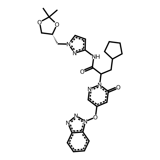 CC1(C)OC[C@@H](Cn2ccc(NC(=O)C(CC3CCCC3)n3ncc(On4nnc5ccccc54)cc3=O)n2)O1